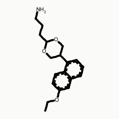 CCOc1ccc2c(C3COC(CCCN)OC3)cccc2c1